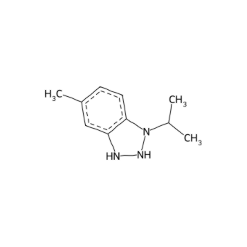 Cc1ccc2c(c1)NNN2C(C)C